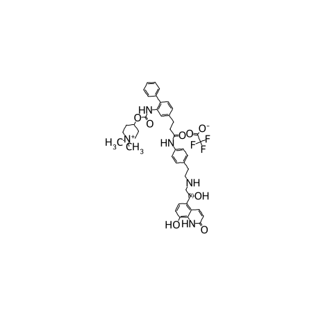 C[N+]1(C)CCC(OC(=O)Nc2cc(CCC(=O)Nc3ccc(CCNC[C@H](O)c4ccc(O)c5[nH]c(=O)ccc45)cc3)ccc2-c2ccccc2)CC1.O=C([O-])C(F)(F)F